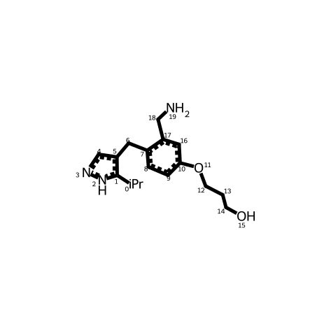 CC(C)c1[nH]ncc1Cc1ccc(OCCCO)cc1CN